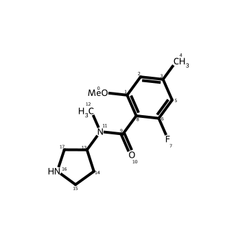 COc1cc(C)cc(F)c1C(=O)N(C)C1CCNC1